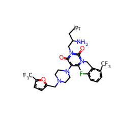 Cc1c(N2CCN(Cc3ccc(C(F)(F)F)o3)CC2)c(=O)n(CC(N)CC(C)C)c(=O)n1Cc1c(F)cccc1C(F)(F)F